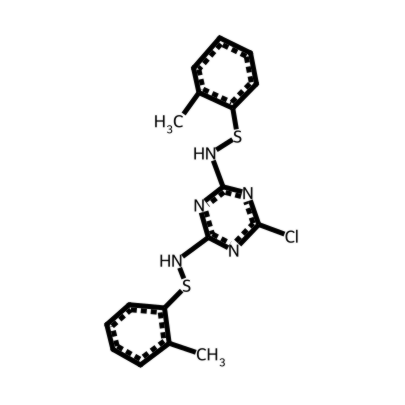 Cc1ccccc1SNc1nc(Cl)nc(NSc2ccccc2C)n1